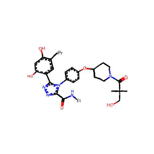 CCNC(=O)c1nnc(-c2cc(C(C)C)c(O)cc2O)n1-c1ccc(OC2CCN(C(=O)C(C)(C)CO)CC2)cc1